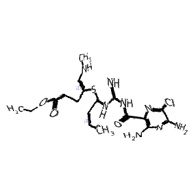 C/C=C\C(NC(=N)NC(=O)c1nc(Cl)c(N)nc1N)S/C(=C\NC)CCC(=O)OCC